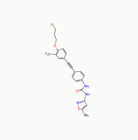 CC(C)(C)c1cc(NC(=O)Nc2ccc(C#Cc3ccc(OCCCCl)c(C(F)(F)F)c3)cc2)no1